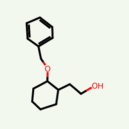 OCCC1CCCCC1OCc1ccccc1